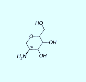 N[C@H]1COC(CO)C(O)C1O